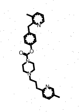 Cc1ccc(CCCN2CCN(C(=O)Oc3ccc(Cc4ncccc4C)cc3)CC2)nc1